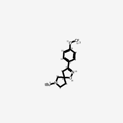 CC(C)(C)N1CCC2(CC(c3ccc(OC(F)(F)F)cc3)=NO2)C1